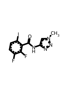 Cn1cc(NC(=O)c2c(I)ccc(F)c2F)nn1